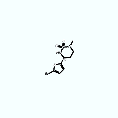 CN1CC[C@@H](c2ccc(Br)s2)NS1(=O)=O